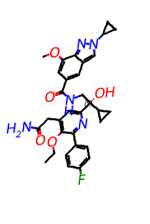 CCOc1c(CC(N)=O)cc([C@@](O)(CNC(=O)c2cc(OC)c3nn(C4CC4)cc3c2)C2CC2)nc1-c1ccc(F)cc1